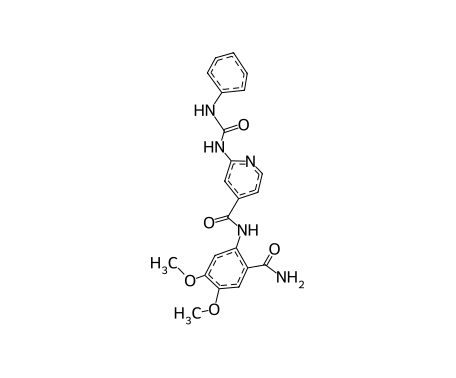 COc1cc(NC(=O)c2ccnc(NC(=O)Nc3ccccc3)c2)c(C(N)=O)cc1OC